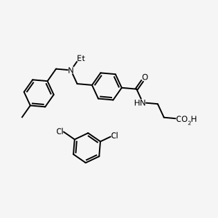 CCN(Cc1ccc(C)cc1)Cc1ccc(C(=O)NCCC(=O)O)cc1.Clc1cccc(Cl)c1